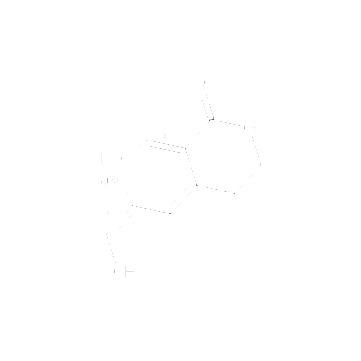 C/C=C1/C(=O)OCC/C1=C/C(=C\C)C(C)(C)C